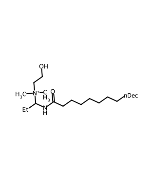 CCCCCCCCCCCCCCCCCC(=O)NC(CC)[N+](C)(C)CCO